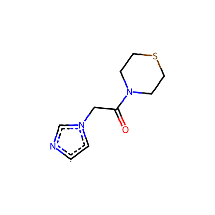 O=C(Cn1c[c]nc1)N1CCSCC1